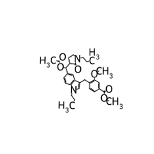 CCCN1CCC(C(OC(C)=O)c2ccc3c(c2)c(Cc2ccc(C(=O)OC)cc2OC)cn3CCC)C1=O